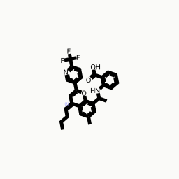 CCC/C=C1/C=C(c2ccc(C(F)(F)F)nc2)Oc2c1cc(C)cc2C(C)Nc1ccccc1C(=O)O